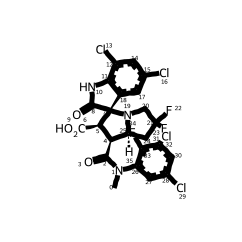 CN(C(=O)[C@H]1[C@@H](C(=O)O)[C@]2(C(=O)Nc3c(Cl)cc(Cl)cc32)N2CC(F)(F)C[C@@H]12)c1cc(Cl)cc(Cl)c1F